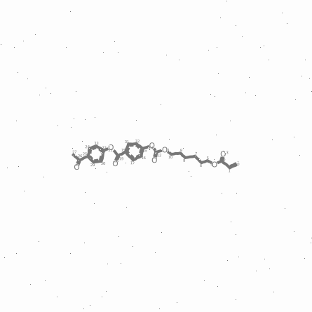 C=CC(=O)OCCCCCCOC(=O)Oc1ccc(C(=O)Oc2ccc(C(C)=O)cc2)cc1